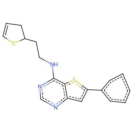 C1=CSC(CCNc2ncnc3cc(-c4ccccc4)sc23)C1